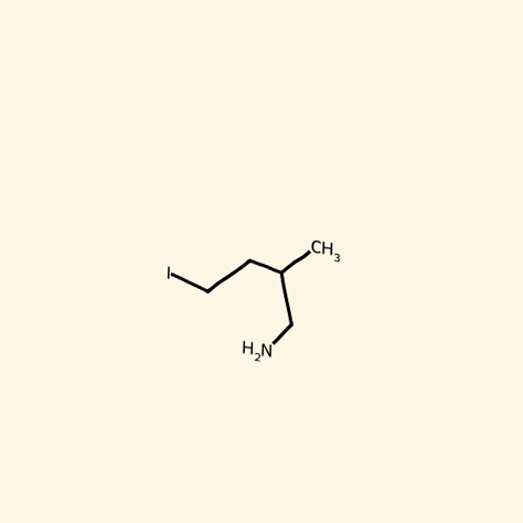 CC(CN)CCI